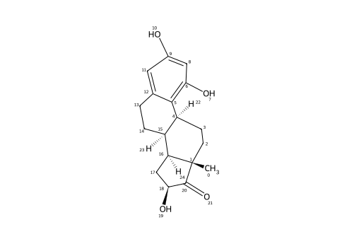 C[C@]12CC[C@@H]3c4c(O)cc(O)cc4CC[C@@H]3[C@@H]1C[C@H](O)C2=O